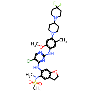 COc1cc(N2CCC(N3CCC(F)(F)CC3)CC2)c(C)cc1Nc1ncc(Cl)c(Nc2cc3c(cc2N(C)S(C)(=O)=O)CCO3)n1